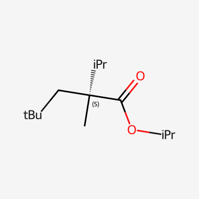 CC(C)OC(=O)[C@@](C)(CC(C)(C)C)C(C)C